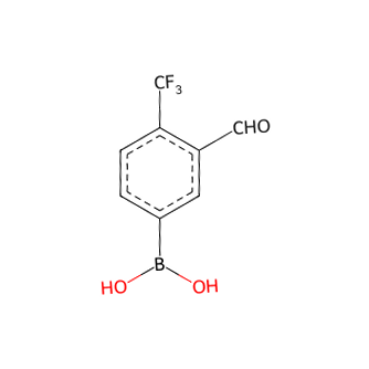 O=Cc1cc(B(O)O)ccc1C(F)(F)F